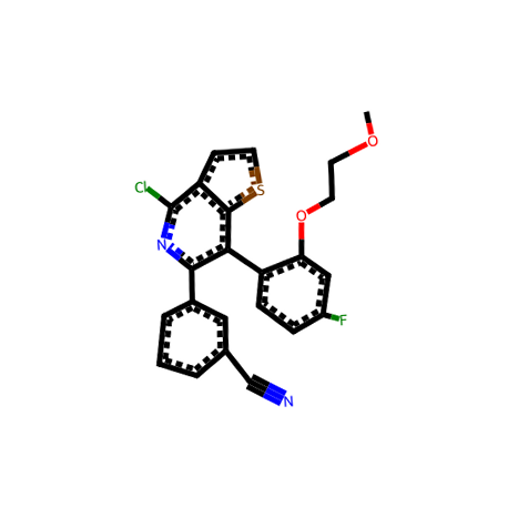 COCCOc1cc(F)ccc1-c1c(-c2cccc(C#N)c2)nc(Cl)c2ccsc12